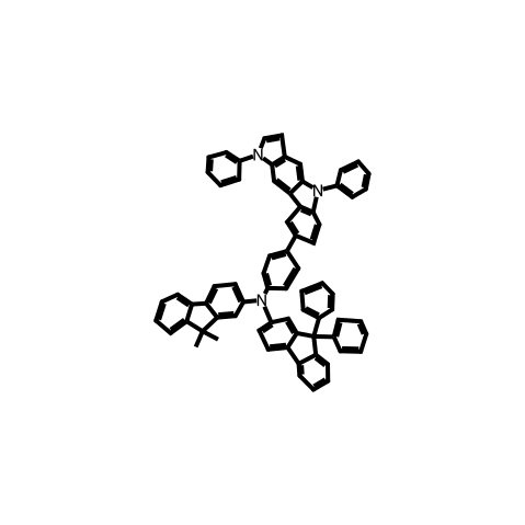 CC1(C)c2ccccc2-c2ccc(N(c3ccc(-c4ccc5c(c4)c4cc6c(ccn6-c6ccccc6)cc4n5-c4ccccc4)cc3)c3ccc4c(c3)C(c3ccccc3)(c3ccccc3)c3ccccc3-4)cc21